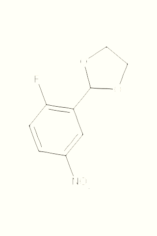 O=[N+]([O-])c1ccc(F)c(C2OCCO2)c1